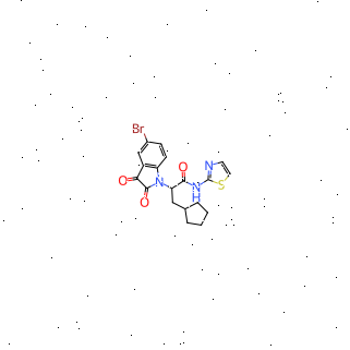 O=C1C(=O)N(C(CC2CCCC2)C(=O)Nc2nccs2)c2ccc(Br)cc21